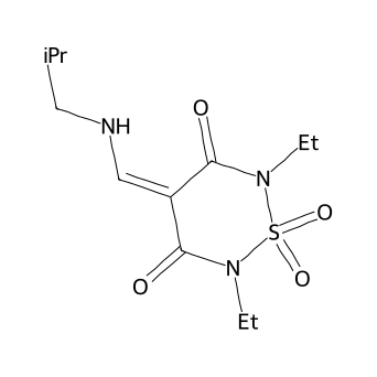 CCN1C(=O)C(=CNCC(C)C)C(=O)N(CC)S1(=O)=O